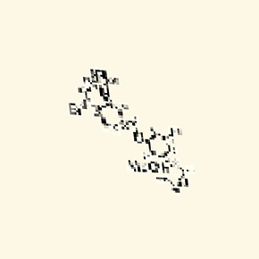 COC1(c2cc(F)cc(OCc3ccc4c(Br)cc5nncn5c4c3)c2)CCOCC1